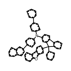 c1ccc(-c2ccc(N(c3ccc(-c4ccc5ccccc5c4)cc3)c3ccc4c(c3)C(c3ccccc3)(c3ccc5c(c3)oc3ccccc35)c3ccccc3-4)cc2)cc1